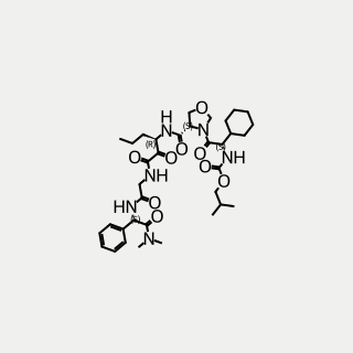 CCC[C@@H](NC(=O)[C@@H]1COCN1C(=O)[C@@H](NC(=O)OCC(C)C)C1CCCCC1)C(=O)C(=O)NCC(=O)N[C@H](C(=O)N(C)C)c1ccccc1